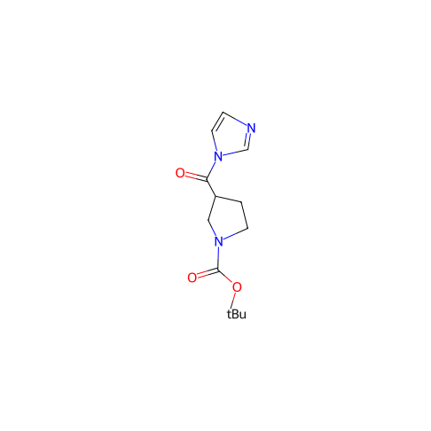 CC(C)(C)OC(=O)N1CCC(C(=O)n2ccnc2)C1